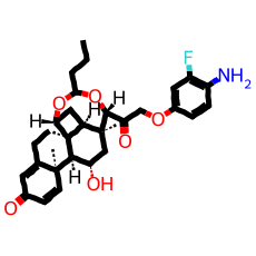 CCCC1O[C@H](C(=O)COc2ccc(N)c(F)c2)[C@@]2(C)C[C@H](O)[C@@H]3[C@@]4(CCC5=CC(=O)C=C[C@@]53C)[C@@H](C[C@@H]24)O1